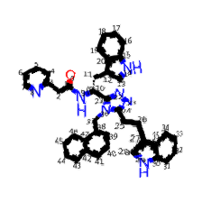 O=C(Cc1ccccn1)N[C@H](Cc1c[nH]c2ccccc12)c1nnc(CCc2c[nH]c3ccccc23)n1Cc1cccc2ccccc12